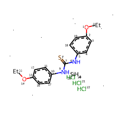 CCOc1ccc(NC(=S)Nc2ccc(OCC)cc2)cc1.Cl.Cl.Cl.[SiH4]